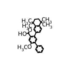 COc1cc(C(=O)O)c(-c2ccc3c(c2)C(C)(C)CCC3(C)C)cc1-c1ccccc1